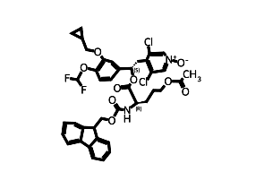 CC(=O)OCCC[C@@H](NC(=O)OCC1c2ccccc2-c2ccccc21)C(=O)O[C@@H](Cc1c(Cl)c[n+]([O-])cc1Cl)c1ccc(OC(F)F)c(OCC2CC2)c1